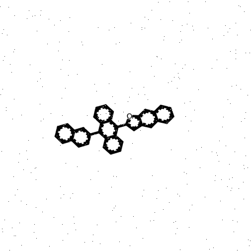 c1ccc2cc(-c3c4ccccc4c(-c4cc5cc6ccccc6cc5o4)c4ccccc34)ccc2c1